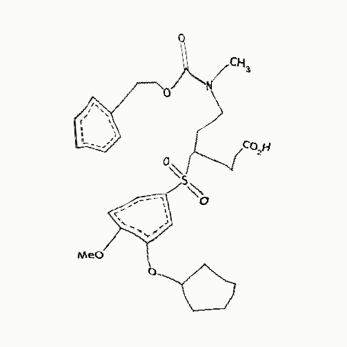 COc1ccc(S(=O)(=O)C(CCN(C)C(=O)OCc2ccccc2)CC(=O)O)cc1OC1CCCC1